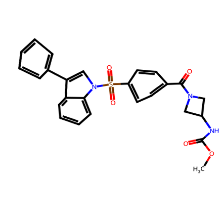 COC(=O)NC1CN(C(=O)c2ccc(S(=O)(=O)n3cc(-c4ccccc4)c4ccccc43)cc2)C1